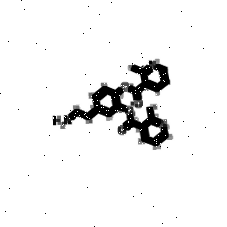 Cc1ncccc1C(=O)Oc1ccc(CCN)cc1OC(=O)c1cccnc1C